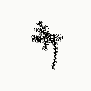 CCCCCCCCCCCCCCCC(=O)NC1C(OC2C(CN=O)OC(OC3C(CN=O)OC(OC4C(CO)OC(O)C(N=NC(C)=O)C4O)C(N=NC(C)=O)C3N=O)C(N=NC(C)=O)C2O)OC(CN=O)C(O)C1O